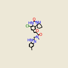 Cc1ccc2[nH]c(CN(C)C(=O)c3cc4cc(Cl)c5c(c4o3)C3(CCCCC3)NC(=O)N5)nc2c1